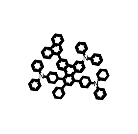 C1=CC(c2cc(C3=CC=C(N(C4=CCCC=C4)c4ccccc4)CC3)c3c4ccc(N(c5ccccc5)c5ccccc5)cc4c4cc(-c5cc6ccccc6c6ccccc56)ccc4c3c2C2C=CC(N(c3ccccc3)c3ccccc3)=CC2)=CCC1